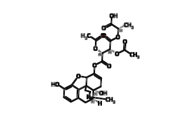 CC(=O)O[C@@H](C(=O)OC1=CC[C@@]2(O)[C@H]3Cc4ccc(O)c5c4C2(CCN3C)C1O5)[C@@H](OC(C)=O)C(=O)O[C@@H](C)C(=O)O